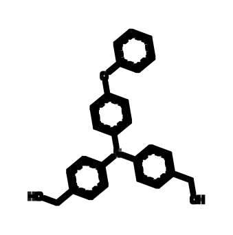 OCc1ccc(N(c2ccc(CO)cc2)c2ccc(Oc3ccccc3)cc2)cc1